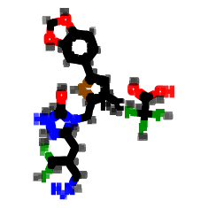 Cc1cc(-c2ccc3c(c2)OCO3)sc1Cn1c(CC(CN)=C(F)F)n[nH]c1=O.O=C(O)C(F)(F)F